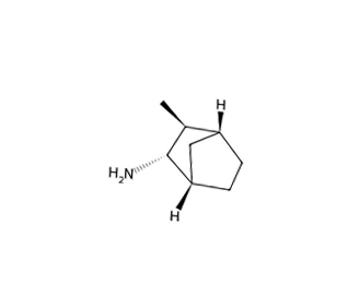 C[C@H]1[C@@H]2CC[C@@H](C2)[C@@H]1N